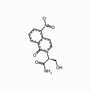 NC(=O)[C@H](CO)n1ccc2c([N+](=O)[O-])cccc2c1=O